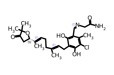 C/C(=C\Cc1c(O)c(Cl)c(C)c(/C=N\CC(N)=O)c1O)CC/C=C(\C)[C@@H]1CC(=O)C(C)(C)O1